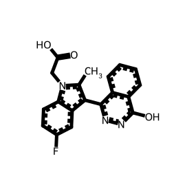 Cc1c(-c2nnc(O)c3ccccc23)c2cc(F)ccc2n1CC(=O)O